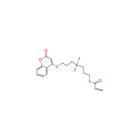 C=CC(=O)SCCCC(F)(F)CCCSc1cc(=O)oc2ccccc12